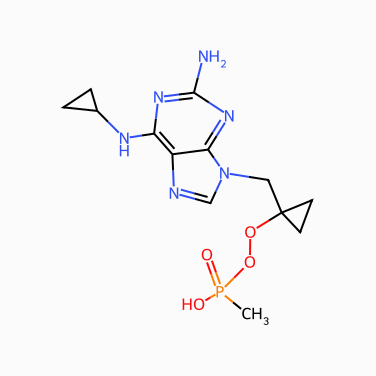 CP(=O)(O)OOC1(Cn2cnc3c(NC4CC4)nc(N)nc32)CC1